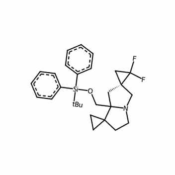 CC(C)(C)[Si](OCC12C[C@]3(CN1CCC21CC1)CC3(F)F)(c1ccccc1)c1ccccc1